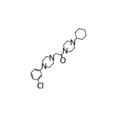 O=C(CN1CCN(c2cccc(Cl)c2)CC1)N1CCN(C2CCCCC2)CC1